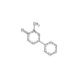 Cn1cc(-c2ccccc2)ccc1=O